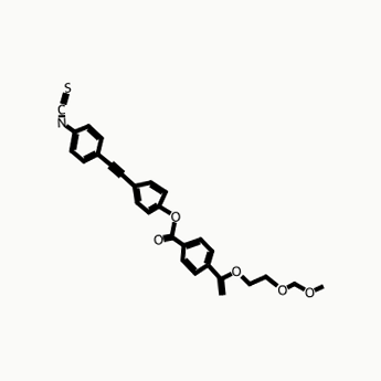 C=C(OCCOCOC)c1ccc(C(=O)Oc2ccc(C#Cc3ccc(N=C=S)cc3)cc2)cc1